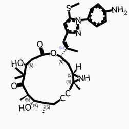 CSc1cc(/C=C(\C)[C@@H]2C[C@@H]3N[C@]3(C)CCC[C@H](C)[C@H](O)[C@@H](C)C(=O)C(C)(C)[C@@H](O)CC(=O)O2)nn1-c1ccc(N)cc1